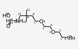 [CH2]C(C)(C)CCOCCOCCC(C)(C)CN[PH](=O)O